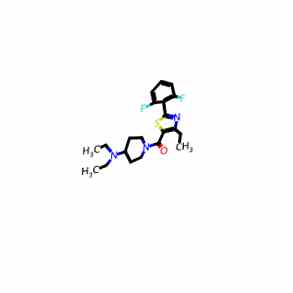 CCc1nc(-c2c(F)cccc2F)sc1C(=O)N1CCC(N(CC)CC)CC1